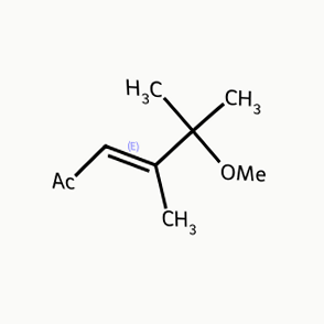 COC(C)(C)/C(C)=C/C(C)=O